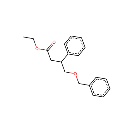 CCOC(=O)CC(COCc1ccccc1)c1ccccc1